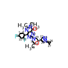 Cc1nc2c(-c3ccc(F)cc3F)nc(N3C[C@@H](C)O[C@@H](c4cnn(C5CC5)c4)C3)nc2c(=O)n1C